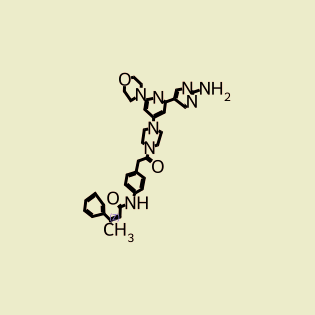 C/C(=C/C(=O)Nc1ccc(CC(=O)N2CCN(c3cc(-c4cnc(N)nc4)nc(N4CCOCC4)c3)CC2)cc1)c1ccccc1